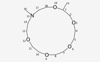 CC1COCCOCCOCCOCCN(C)CCO1